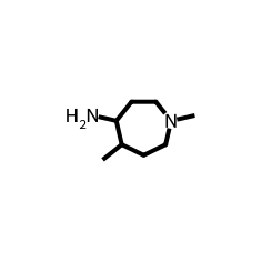 CC1CCN(C)CCC1N